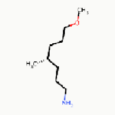 COCCC[C@@H](C)CCCN